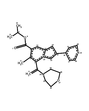 C=C(c1c(C)c(C(=O)OC(C)C)cc2cc(-c3ccncc3)cn12)N1CCOCC1